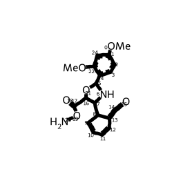 COc1ccc(C2NC(C3C=CC=CC3=C=O)C(C(=O)ON)O2)c(OC)c1